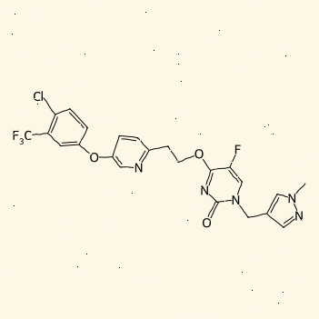 Cn1cc(Cn2cc(F)c(OCCc3ccc(Oc4ccc(Cl)c(C(F)(F)F)c4)cn3)nc2=O)cn1